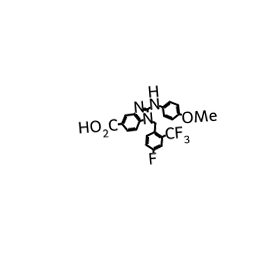 COc1ccc(Nc2nc3cc(C(=O)O)ccc3n2Cc2ccc(F)cc2C(F)(F)F)cc1